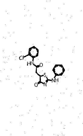 O=C(CC1SC(Nc2ccccc2)=NC1=O)Nc1ccccc1Cl